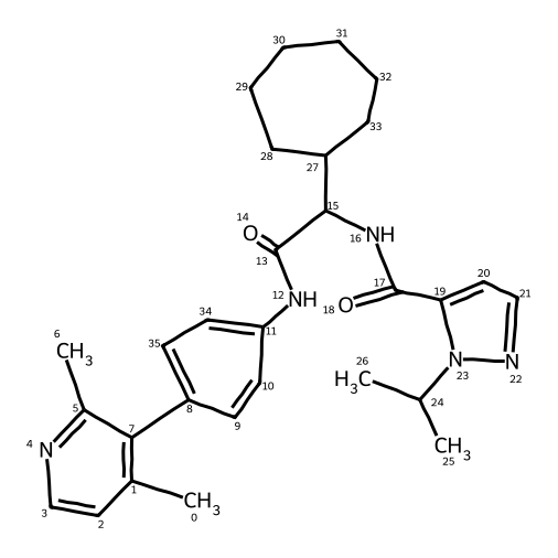 Cc1ccnc(C)c1-c1ccc(NC(=O)C(NC(=O)c2ccnn2C(C)C)C2CCCCCC2)cc1